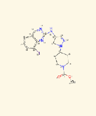 CC(C)(C)OC(=O)N1CCC(N2CC(Nc3ncc4cccc(I)c4n3)C=N2)CC1